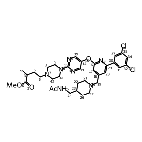 COC(=O)C(C)CCN1CCN(c2ncc(Oc3cc(CN4CCC(CNC(C)=O)CC4)cc(-c4cc(Cl)cc(Cl)c4)n3)cn2)CC1